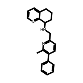 Cc1nc(CNC2CCCc3cccnc32)ccc1-c1ccccc1